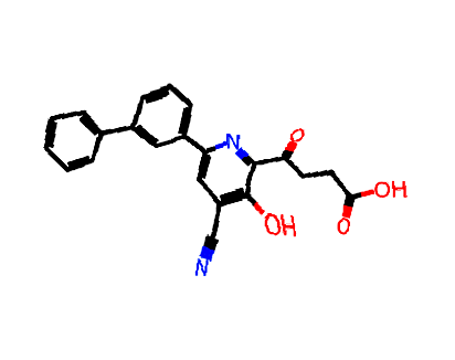 N#Cc1cc(-c2cccc(-c3ccccc3)c2)nc(C(=O)CCC(=O)O)c1O